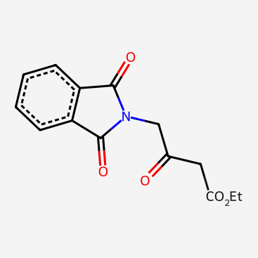 CCOC(=O)CC(=O)CN1C(=O)c2ccccc2C1=O